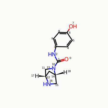 O=C(Nc1ccc(O)cc1)N1C[C@@H]2C[C@H]1CN2